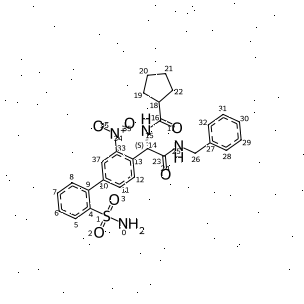 NS(=O)(=O)c1ccccc1-c1ccc([C@H](NC(=O)C2CCCC2)C(=O)NCc2ccccc2)c([N+](=O)[O-])c1